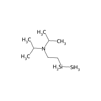 CC(C)N(CC[SiH2][SiH3])C(C)C